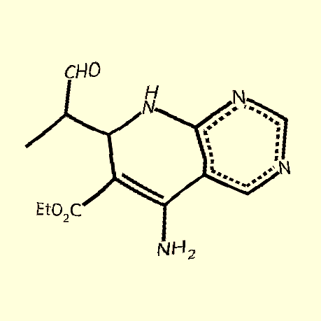 CCOC(=O)C1=C(N)c2cncnc2NC1C(C)C=O